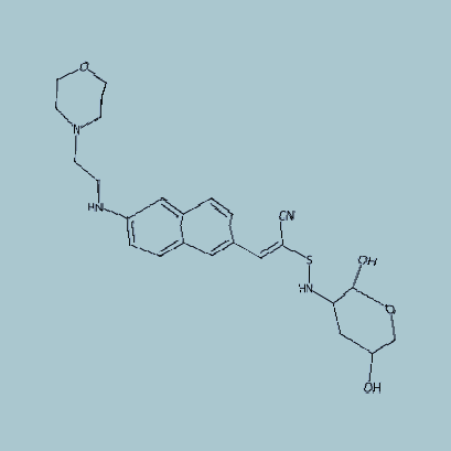 N#C/C(=C\c1ccc2cc(NCCN3CCOCC3)ccc2c1)SNC1CC(O)COC1O